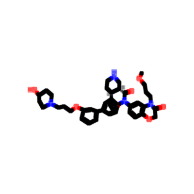 COCCCN1C(=O)COc2ccc(N(C(=O)[C@H]3CNCC[C@@H]3c3cccc(-c4cccc(OCCCN5CCC(O)CC5)c4)c3)C3CC3)cc21